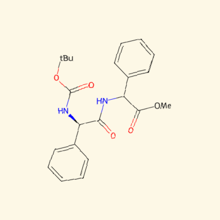 COC(=O)C(NC(=O)[C@H](NC(=O)OC(C)(C)C)c1ccccc1)c1ccccc1